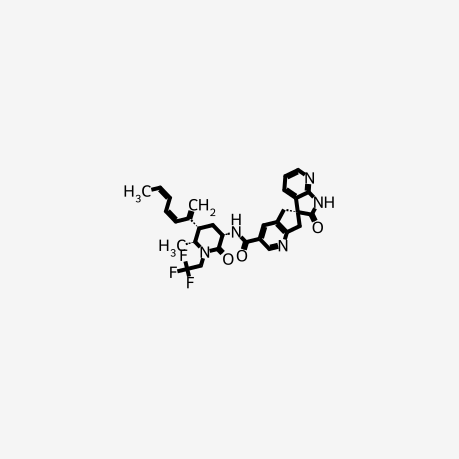 C=C(/C=C\C=C/C)[C@@H]1C[C@H](NC(=O)c2cnc3c(c2)C[C@@]2(C3)C(=O)Nc3ncccc32)C(=O)N(CC(F)(F)F)[C@@H]1C